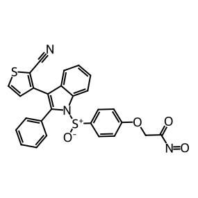 N#Cc1sccc1-c1c(-c2ccccc2)n([S+]([O-])c2ccc(OCC(=O)N=O)cc2)c2ccccc12